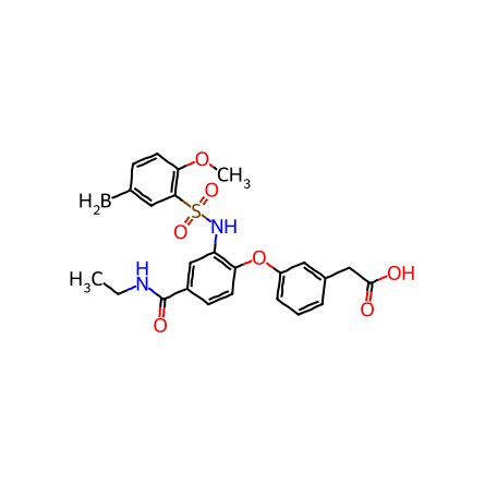 Bc1ccc(OC)c(S(=O)(=O)Nc2cc(C(=O)NCC)ccc2Oc2cccc(CC(=O)O)c2)c1